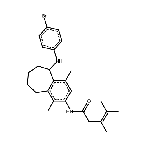 CC(C)=C(C)CC(=O)Nc1cc(C)c2c(c1C)CCCCC2Nc1ccc(Br)cc1